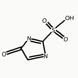 O=C1C=NC(S(=O)(=O)O)=N1